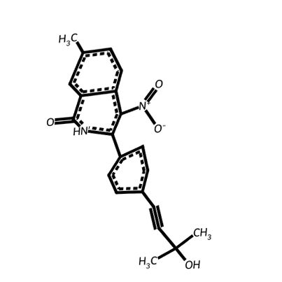 Cc1ccc2c([N+](=O)[O-])c(-c3ccc(C#CC(C)(C)O)cc3)[nH]c(=O)c2c1